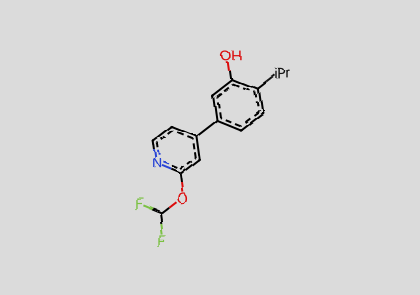 CC(C)c1ccc(-c2ccnc(OC(F)F)c2)cc1O